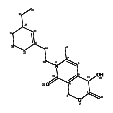 C=C1OCc2c(cc(C)n(CCC3=CC(CC)CCC3)c2=O)C1O